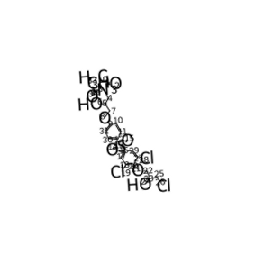 CC(=O)N(C[C@H](O)COc1ccc(S(=O)(=O)c2cc(Cl)c(OC[C@H](O)CCl)c(Cl)c2)cc1)C(C)=O